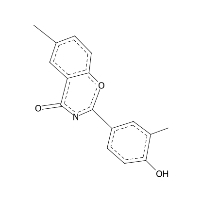 Cc1ccc2oc(-c3ccc(O)c(C)c3)nc(=O)c2c1